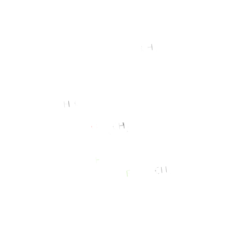 C=C(OCC)/C(F)=C(F)\C(=C/C)C1=CCC=C(CCC)C=C1